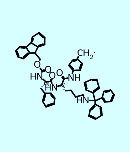 [CH2]c1ccc(NC(=O)[C@H](CCCCNC(c2ccccc2)(c2ccccc2)c2ccccc2)NC(=O)[C@H](Cc2ccccc2)NC(=O)OCC2c3ccccc3-c3ccccc32)cc1